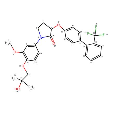 COc1cc(N2CCC(Oc3ccc(-c4ccccc4C(F)(F)F)cc3)C2=O)ccc1OCC(C)(C)O